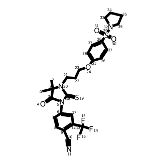 CC1(C)C(=O)N(c2ccc(C#N)c(C(F)(F)F)c2)C(=S)N1CCCOc1ccc(S(=O)(=O)N2CCCC2)cc1